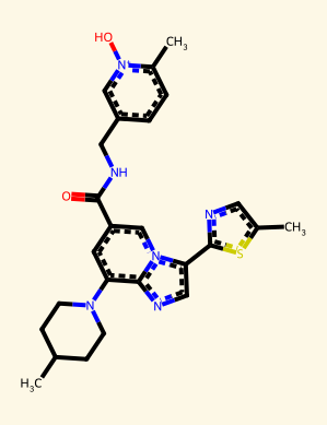 Cc1cnc(-c2cnc3c(N4CCC(C)CC4)cc(C(=O)NCc4ccc(C)[n+](O)c4)cn23)s1